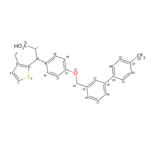 Cc1ccsc1C(CC(=O)O)c1ccc(OCc2cccc(-c3ccc(C(F)(F)F)cc3)c2)cc1